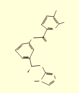 Cc1nc(C(=O)Nc2cccc([C@H](C)Sc3nncn3C)c2)ccc1Cl